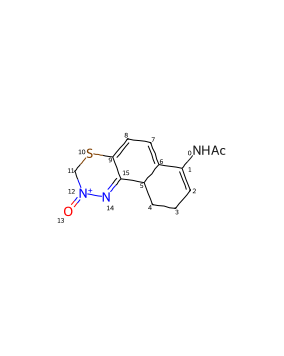 CC(=O)NC1=CCCC2C1=CC=C1SC[N+](=O)N=C12